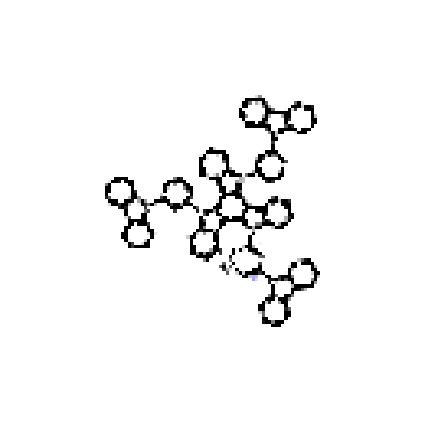 C/C=C(\C=C(/C)n1c2ccccc2c2c1c1c3ccccc3n(-c3cccc(-n4c5ccccc5c5ccccc54)c3)c1c1c3ccccc3n(-c3cccc(-n4c5ccccc5c5ccccc54)c3)c21)n1c2ccccc2c2ccccc21